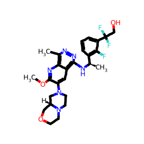 COc1nc2c(C)nnc(N[C@H](C)c3cccc(C(F)(F)CO)c3F)c2cc1N1CCN2CCOC[C@@H]2C1